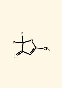 O=C1C=C(C(F)(F)F)OC1(F)F